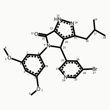 COc1cc(OC)cc(N2C(=O)c3[nH]nc(CC(C)C)c3C2c2cncc(Br)c2)c1